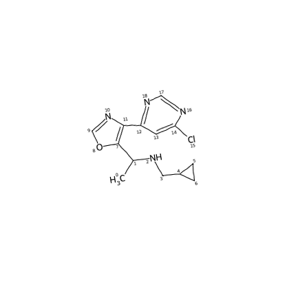 CC(NCC1CC1)c1ocnc1-c1cc(Cl)ncn1